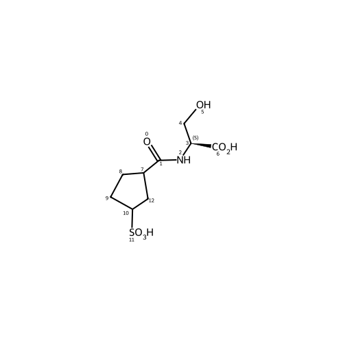 O=C(N[C@@H](CO)C(=O)O)C1CCC(S(=O)(=O)O)C1